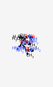 C=C1N=C(N)C=CN1CC(=O)N(CCC)CC(=O)NCCN(C(=O)Cn1cc(C)c(=O)[nH]c1=O)[C@@H](CCCNC(=N)N)C(=O)NCCN(CC(C)C(C)C(C)(C)C)C(=O)Cn1cnc2c(=O)[nH]c(N)nc21